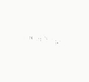 NCCN1CCN(CCCN2CCCC2)CC1